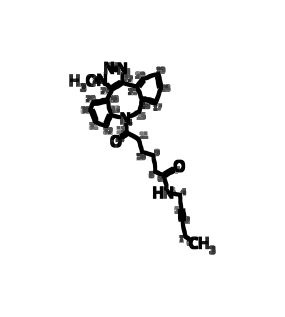 CCC#CCNC(=O)CCCCC(=O)N1Cc2ccccc2-c2nnn(C)c2-c2ccccc21